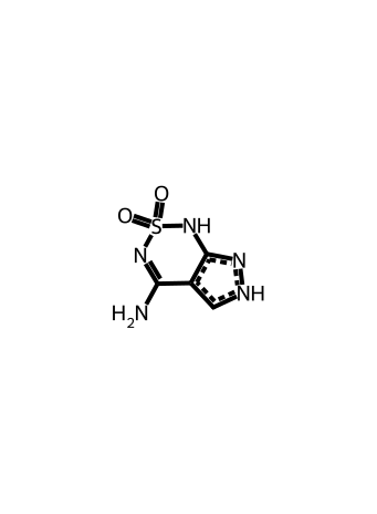 NC1=NS(=O)(=O)Nc2n[nH]cc21